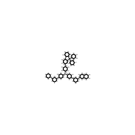 c1ccc(-c2cccc(-c3ccc(N(c4ccc(-c5cccc(-c6ccc7ccccc7c6)c5)cc4)c4ccc(-c5ccc6c(c5)C(c5ccccc5)(c5ccccc5)c5ccccc5-6)cc4)cc3)c2)cc1